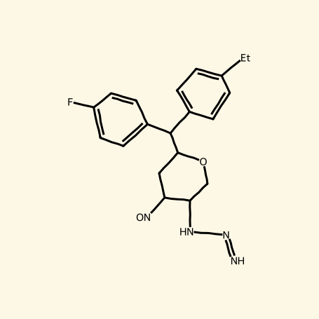 CCc1ccc(C(c2ccc(F)cc2)C2CC(N=O)C(NN=N)CO2)cc1